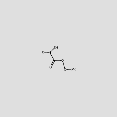 O=C(O[O][Mo])N(S)S